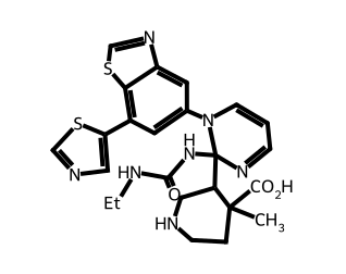 CCNC(=O)NC1(C2CNCCC2(C)C(=O)O)N=CC=CN1c1cc(-c2cncs2)c2scnc2c1